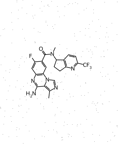 Cc1ncn2c1c(N)nc1cc(F)c(C(=O)N(C)C3CCc4nc(C(F)(F)F)ccc43)cc12